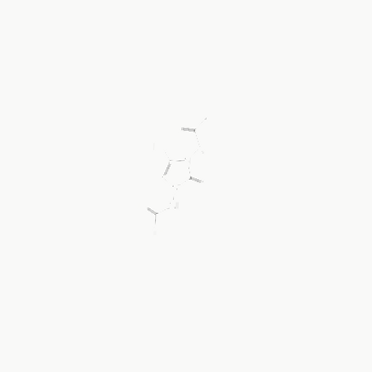 CCc1cn(NC(=O)C(C)C)c(=O)n1[C@@H](C)C(=O)C(C)C